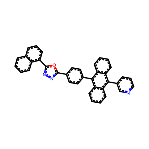 c1cncc(-c2c3ccccc3c(-c3ccc(-c4nnc(-c5cccc6ccccc56)o4)cc3)c3ccccc23)c1